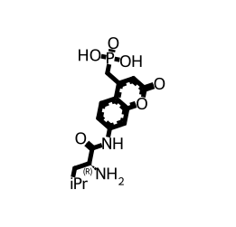 CC(C)C[C@@H](N)C(=O)Nc1ccc2c(CP(=O)(O)O)cc(=O)oc2c1